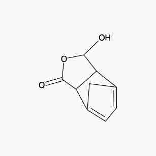 O=C1OC(O)C2C3=CC=C(C3)C12